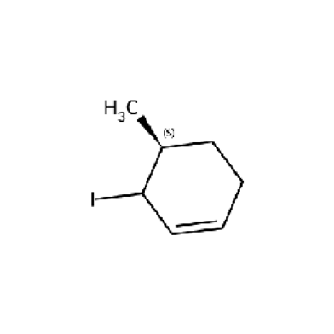 C[C@H]1CCC=CC1I